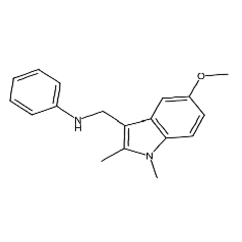 COc1ccc2c(c1)c(CNc1ccccc1)c(C)n2C